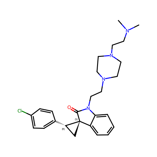 CN(C)CCN1CCN(CCN2C(=O)[C@]3(C[C@@H]3c3ccc(Cl)cc3)c3ccccc32)CC1